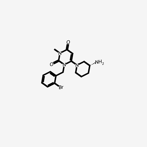 Cn1c(=O)cc(N2CCC[C@@H](N)C2)n(Cc2ccccc2Br)c1=O